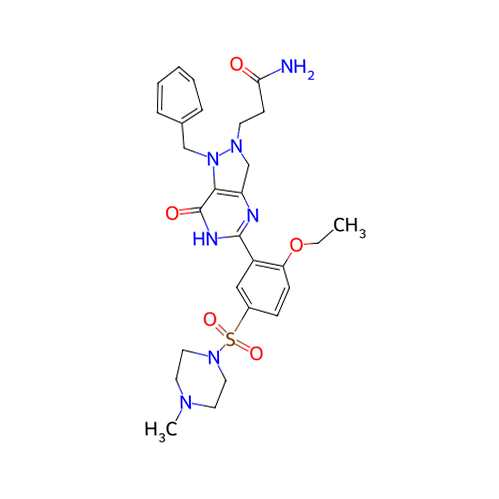 CCOc1ccc(S(=O)(=O)N2CCN(C)CC2)cc1-c1nc2c(c(=O)[nH]1)N(Cc1ccccc1)N(CCC(N)=O)C2